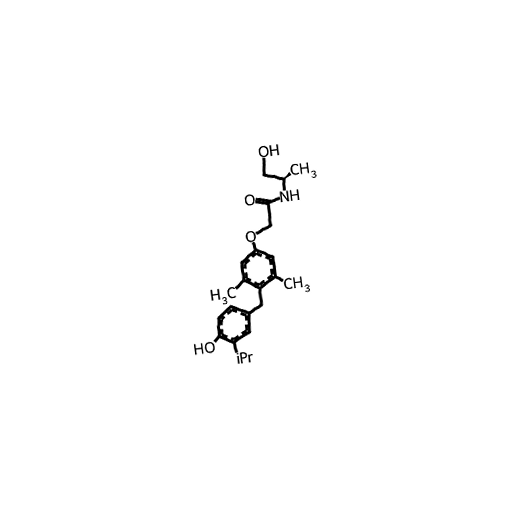 Cc1cc(OCC(=O)N[C@H](C)CO)cc(C)c1Cc1ccc(O)c(C(C)C)c1